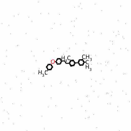 Cc1ccc(Oc2ccc(CCc3ccc(-c4ccc(C)c(C)c4)cc3C)cc2)cc1